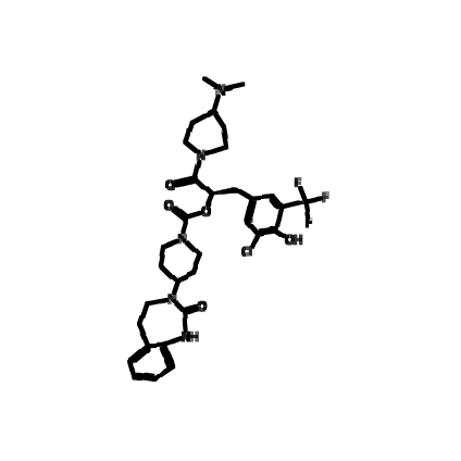 CN(C)C1CCN(C(=O)[C@@H](Cc2cc(Cl)c(O)c(C(F)(F)F)c2)OC(=O)N2CCC(N3CCc4ccccc4NC3=O)CC2)CC1